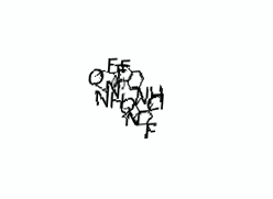 NC1=N[C@H](c2cc(NC(=O)c3ncc(F)cc3Cl)ccc2F)C(F)(F)COC1